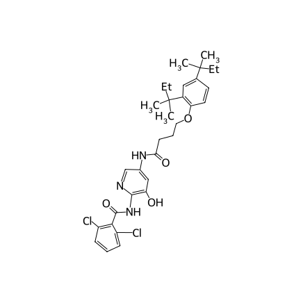 CCC(C)(C)c1ccc(OCCCC(=O)Nc2cnc(NC(=O)c3c(Cl)cccc3Cl)c(O)c2)c(C(C)(C)CC)c1